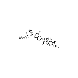 COCC(F)(F)C1CN(c2cc(F)c3c(n2)CCC(NC(=O)c2sc4nc(C)c(F)cc4c2N)C3)CC1N